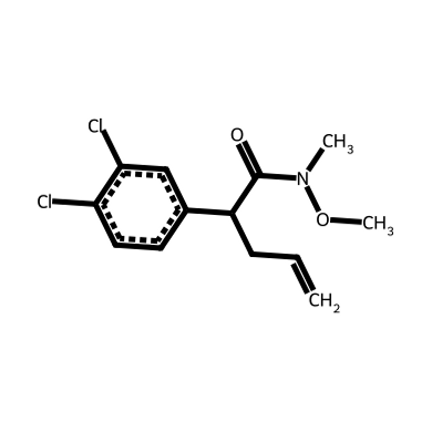 C=CCC(C(=O)N(C)OC)c1ccc(Cl)c(Cl)c1